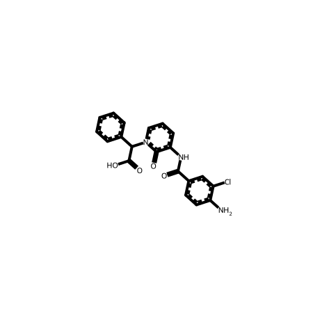 Nc1ccc(C(=O)Nc2cccn(C(C(=O)O)c3ccccc3)c2=O)cc1Cl